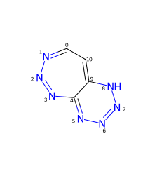 C1=NN=NC2=NN=NNC2=C1